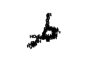 CCOCCOCCOCCOCCOCCNC(=O)[C@@H]1CCCCn2cc(nn2)C[C@H](NC(=O)[C@H]2CCCN2C(=O)CC[C@@H](NC(=O)c2ccc(NCc3cnc4nc(N)[nH]c(=O)c4n3)cc2)C(=O)O)C(=O)N[C@H](Cc2cnc[nH]2)C(=O)N[C@H](CO)C(=O)N[C@H](Cc2cnc[nH]2)C(=O)N[C@H]([C@H](C)O)C(=O)N[C@H](C)C(=O)N1